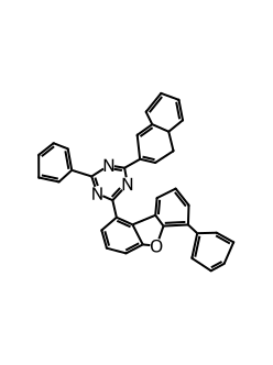 C1=CC2=CC(c3nc(-c4ccccc4)nc(-c4cccc5oc6c(-c7ccccc7)cccc6c45)n3)=CCC2C=C1